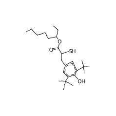 CCCCCC(CC)OC(=O)C(S)Cc1cc(C(C)(C)C)c(O)c(C(C)(C)C)c1